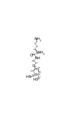 NCCC/C=C(\N)C(=O)NCCOc1ccc(CS)c(CS)c1